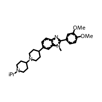 COc1ccc(-c2nc3ccc(C4CCN(C5CCN(C(C)C)CC5)CC4)cc3n2C)cc1OC